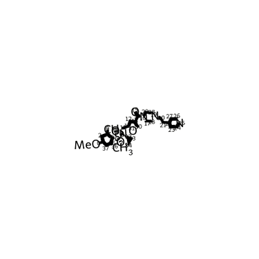 COc1cc(C)c(S(=O)(=O)N(Cc2cc(C(=O)N3CCN(CCc4ccncc4)CC3)co2)C2CC2)c(C)c1